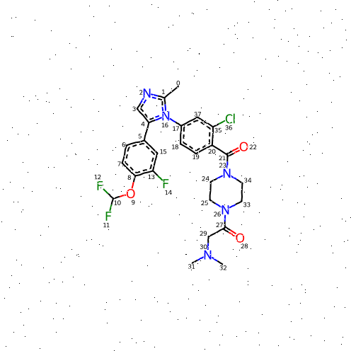 Cc1ncc(-c2ccc(OC(F)F)c(F)c2)n1-c1ccc(C(=O)N2CCN(C(=O)CN(C)C)CC2)c(Cl)c1